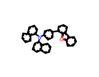 c1ccc2c(N(c3ccc(-c4cccc5c4oc4ccccc45)cc3)c3cccc4ccccc34)cccc2c1